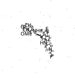 COc1cc(P(C)(C)=O)ccc1NCC#Cc1sc2c(NC3CCN(CCCF)CC3)cccc2c1C(F)C(F)F